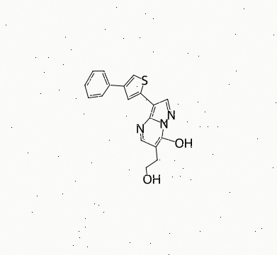 OCCc1cnc2c(-c3cc(-c4ccccc4)cs3)cnn2c1O